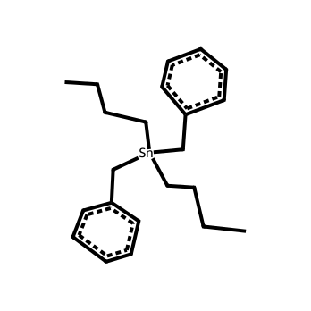 CCC[CH2][Sn]([CH2]CCC)([CH2]c1ccccc1)[CH2]c1ccccc1